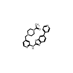 CC(=O)N1CCN(Cc2ccnc(Nc3nc4ccc(-c5ccncc5)cc4s3)c2)CC1